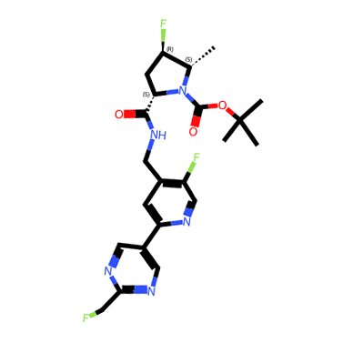 C[C@H]1[C@H](F)C[C@@H](C(=O)NCc2cc(-c3cnc(CF)nc3)ncc2F)N1C(=O)OC(C)(C)C